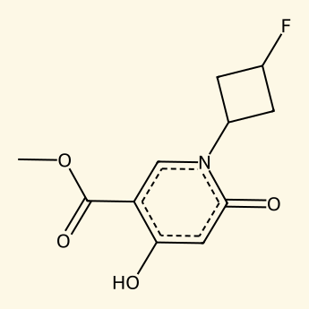 COC(=O)c1cn(C2CC(F)C2)c(=O)cc1O